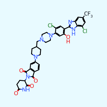 O=C1CCC(N2C(=O)c3ccc(N4CCC(CN5CCN(c6cc(O)c(-c7nc8cc(C(F)(F)F)cc(Cl)c8[nH]7)cc6Cl)CC5)CC4)cc3C2=O)C(=O)N1